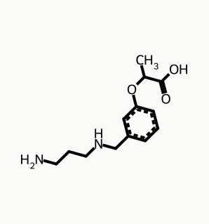 CC(Oc1cccc(CNCCCN)c1)C(=O)O